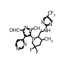 CC1CC(F)(F)CN(c2c(-c3ccncn3)c(C=O)nn2C)C1CNc1ncc(C(F)(F)F)cn1